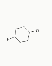 ClC1CCC(I)CC1